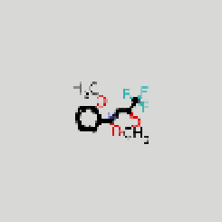 CO/C(=C\C(=O)C(F)(F)F)c1ccccc1OC